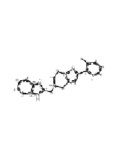 Cc1cccnc1-c1cc2n(n1)CCN(Cc1nc3ccccc3[nH]1)C2